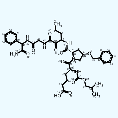 CCCC(NC(=O)[C@@H]1C[C@@H](OCc2ccccc2)CN1C(=O)[C@H](CCCC(=O)O)NC(=O)OCC(C)C)C(=O)C(=O)NCC(=O)NC(C(N)=O)c1ccccc1